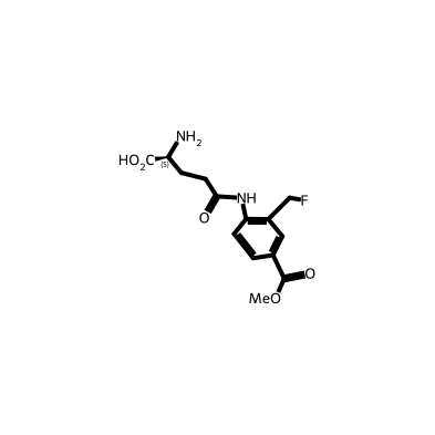 COC(=O)c1ccc(NC(=O)CC[C@H](N)C(=O)O)c(CF)c1